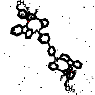 C=Cc1ccc(CC23c4ccccc4-c4ccc(cc42)N(c2ccc(-c4ccc(N5c6cccc(c6)-c6c(F)c(F)c(F)c(c6F)C6(Cc7ccc(C=C)cc7)c7ccccc7-c7ccc5cc76)cc4)cc2)c2cccc(c2)-c2c(F)c(F)c(F)c3c2F)cc1